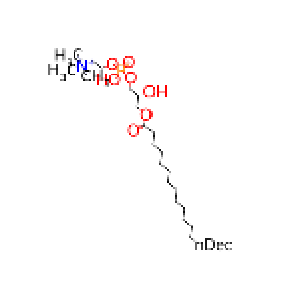 CCCCCCCCCCCCCCCCCCCCCCC(=O)OC[C@@H](O)COP(=O)(O)OCC[N+](C)(C)C